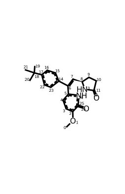 COc1ccc(/C(=C\[C@H]2CCC(=O)N2)c2ccc(C(C)(C)C)cc2)[nH]c1=O